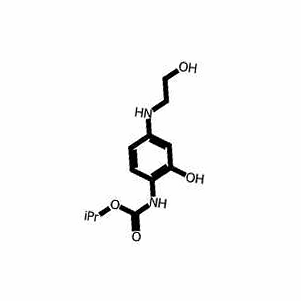 CC(C)OC(=O)Nc1ccc(NCCO)cc1O